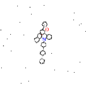 c1ccc(-c2ccc(-c3ccc(N(c4ccccc4-c4cccc5c4oc4ccccc45)c4cccc5ccccc45)cc3)cc2)cc1